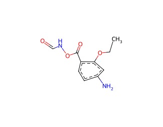 CCOc1cc(N)ccc1C(=O)ONC=O